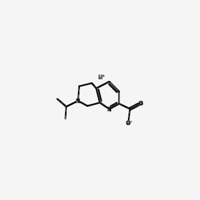 CC(C)N1CCc2ccc(C(=O)[O-])nc2C1.[Li+]